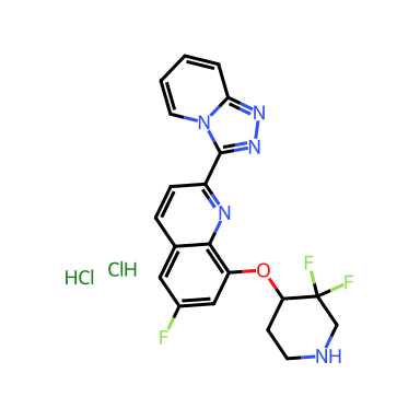 Cl.Cl.Fc1cc(OC2CCNCC2(F)F)c2nc(-c3nnc4ccccn34)ccc2c1